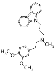 COc1ccc(CCN(C)CCCn2c3ccccc3c3ccccc32)cc1OC